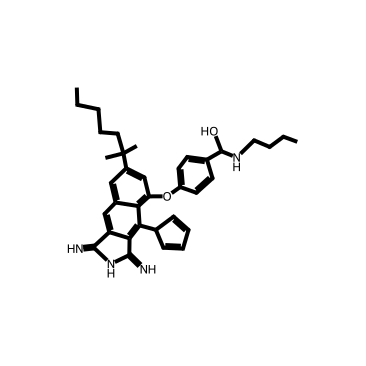 CCCCCC(C)(C)c1cc(Oc2ccc(C(O)NCCCC)cc2)c2c(C3C=CC=C3)c3c(cc2c1)C(=N)NC3=N